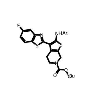 CC(=O)Nc1sc2c(c1-c1nc3cc(F)ccc3s1)CCN(C(=O)OC(C)(C)C)C2